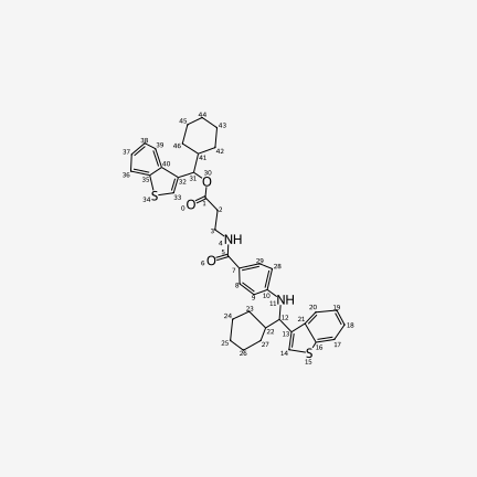 O=C(CCNC(=O)c1ccc(NC(c2csc3ccccc23)C2CCCCC2)cc1)OC(c1csc2ccccc12)C1CCCCC1